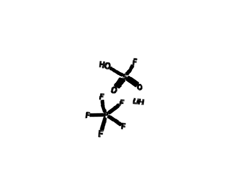 FP(F)(F)(F)F.O=S(=O)(O)F.[LiH]